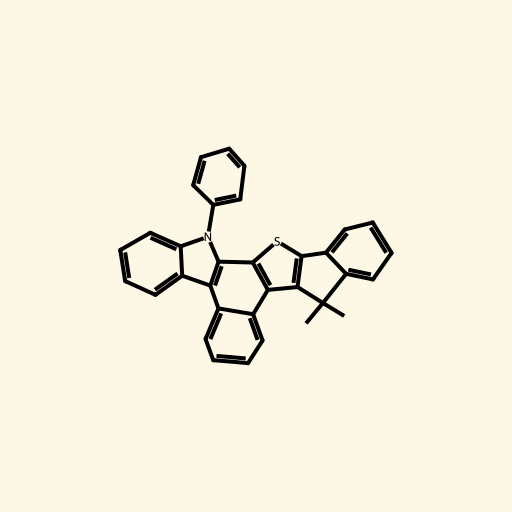 CC1(C)c2ccccc2-c2sc3c(c21)c1ccccc1c1c2ccccc2n(-c2ccccc2)c31